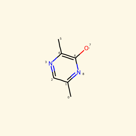 Cc1cnc(C)c([O])n1